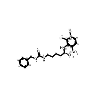 C[C@@H](CCCCNC(=O)OCc1ccccc1)Nc1c([N+](=O)[O-])cc[n+]([O-])c1Cl